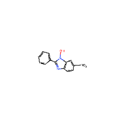 O=[N+]([O-])c1ccc2nc(-c3ccccc3)n(O)c2c1